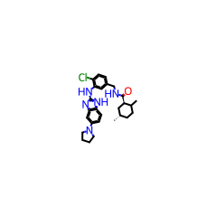 CC1CC[C@H](C)C[C@H]1C(=O)NCc1ccc(Cl)c(Nc2nc3cc(N4CCCC4)ccc3[nH]2)c1